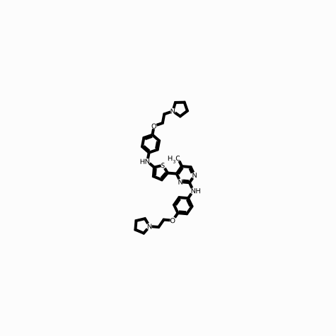 Cc1cnc(Nc2ccc(OCCN3CCCC3)cc2)nc1-c1ccc(Nc2ccc(OCCN3CCCC3)cc2)s1